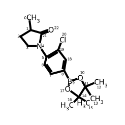 CC1CCN(c2ccc(B3OC(C)(C)C(C)(C)O3)cc2Cl)C1=O